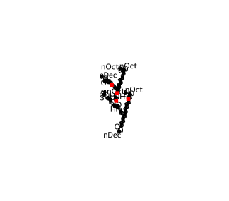 CCCCCCCCCCCOC(=O)CCCCCN(CCCCCCCC(=O)OC(CCCCCCCC)CCCCCCCC)CCNC(=O)CN(CCCNC(=S)N(C)C)CC(=O)NCCN(CCCCCCCC(=O)OC(CCCCCCCC)CCCCCCCC)CCCCC(C)(C)C(=O)OCCCCCCCCCCC